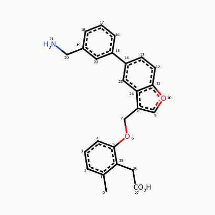 Cc1cccc(OCc2coc3ccc(-c4cccc(CN)c4)cc23)c1CC(=O)O